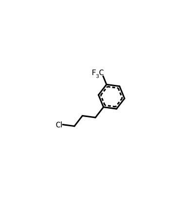 FC(F)(F)c1cccc(CCCCl)c1